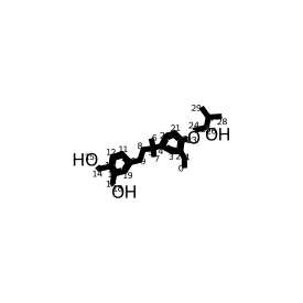 CCc1cc(C(C)(C)CCc2ccc(CO)c(CO)c2)ccc1OCC(O)C(C)C